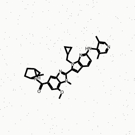 COc1cc(C(=O)N2CC3CCC2[C@@H]3C)cc2nc(-c3cc4ccc(Nc5c(C)cncc5C)nc4n3CC3CC3)n(C)c12